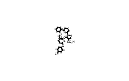 O=C(O)c1cnn(-c2cccc(-c3ccccc3OCc3ccc(Oc4ccc(Cl)cc4)nc3)n2)c1C(F)(F)F